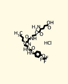 CCCCn1cc(NC(=O)Nc2ccc(OC(F)(F)F)cc2)nc1C(=O)NCCOC(=O)[C@@H](N)CCC(=O)O.Cl